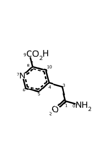 NC(=O)Cc1ccnc(C(=O)O)c1